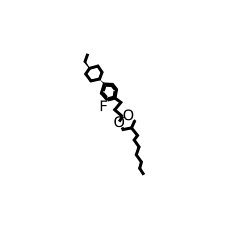 CCCCCCCC1COC(CCc2ccc([C@H]3CC[C@H](CC)CC3)cc2F)OC1